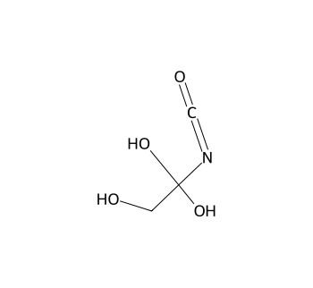 O=C=NC(O)(O)CO